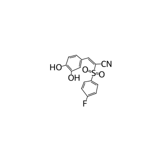 N#CC(=Cc1ccc(O)c(O)c1)S(=O)(=O)c1ccc(F)cc1